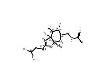 CC(=O)OC[C@H]1O[C@@H]2SC(NCC(F)F)=N[C@@H]2[C@@H](C)[C@@H]1C